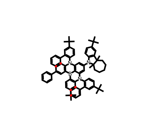 CC(C)(C)c1ccc(N2c3ccc(-c4ccccc4)cc3B3c4ccc(C(C)(C)C)cc4N(c4ccc(C(C)(C)C)cc4-c4ccccc4)c4cc(N5c6ccc(C(C)(C)C)cc6C6(C)CCCCCC56C)cc2c43)c(-c2ccccc2)c1